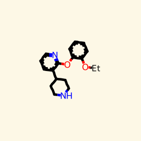 CCOc1ccccc1Oc1ncccc1C1CCNCC1